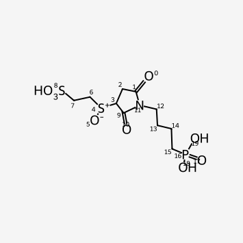 O=C1CC([S+]([O-])CCS(=O)(=O)O)C(=O)N1CCCCP(=O)(O)O